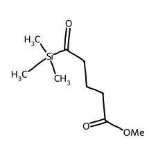 COC(=O)CCCC(=O)[Si](C)(C)C